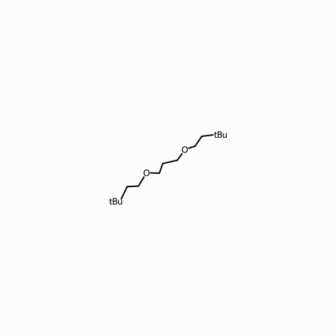 CC(C)(C)CCOCCCOCCC(C)(C)C